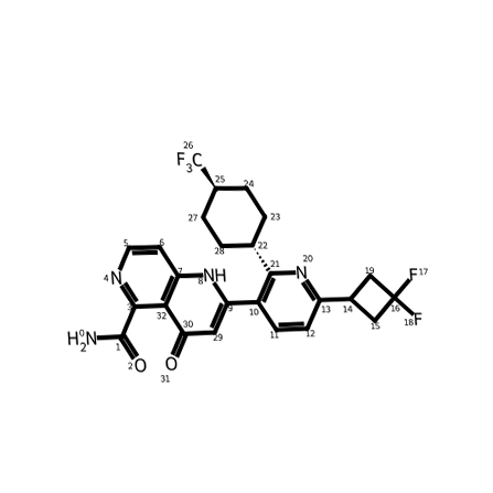 NC(=O)c1nccc2[nH]c(-c3ccc(C4CC(F)(F)C4)nc3[C@H]3CC[C@H](C(F)(F)F)CC3)cc(=O)c12